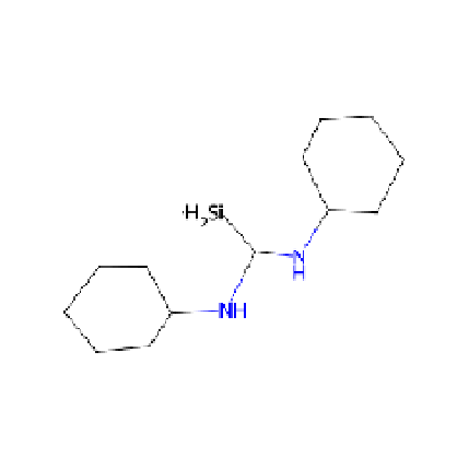 [SiH2]C(NC1CCCCC1)NC1CCCCC1